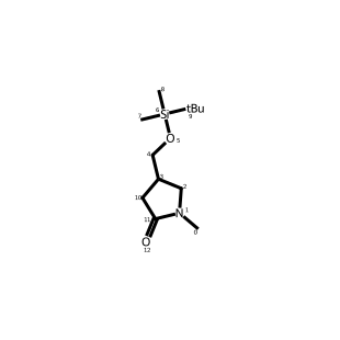 CN1CC(CO[Si](C)(C)C(C)(C)C)CC1=O